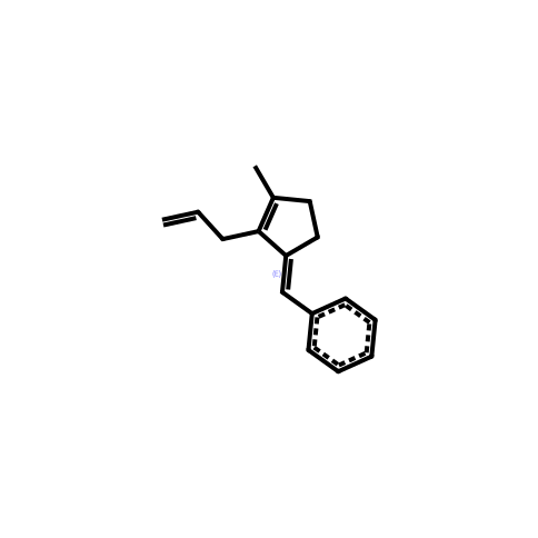 C=CCC1=C(C)CC/C1=C\c1ccccc1